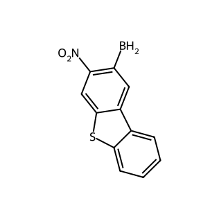 Bc1cc2c(cc1[N+](=O)[O-])sc1ccccc12